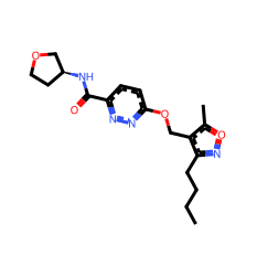 CCCCc1noc(C)c1COc1ccc(C(=O)N[C@H]2CCOC2)nn1